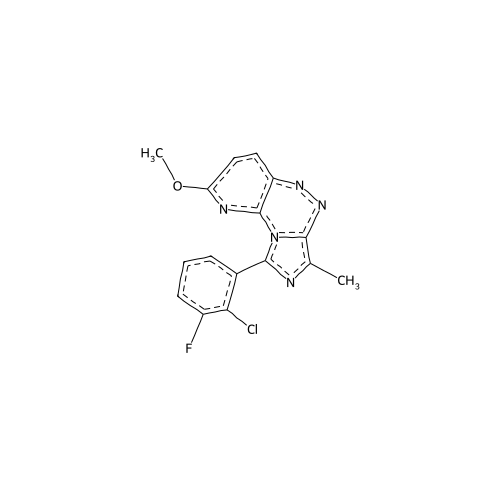 COc1ccc2nnc3c(C)nc(-c4cccc(F)c4Cl)n3c2n1